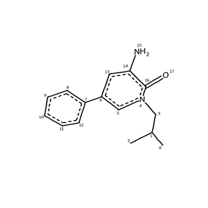 CC(C)Cn1cc(-c2ccccc2)cc(N)c1=O